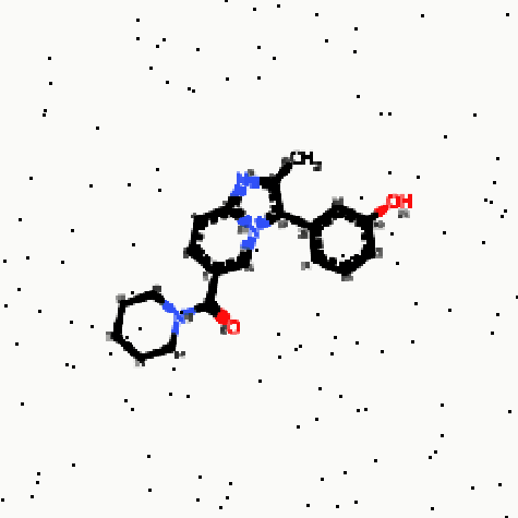 Cc1nc2ccc(C(=O)N3CCCCC3)cn2c1-c1cccc(O)c1